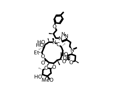 CC[C@H]1OC(=O)[C@H](C)[C@@H](O[C@H]2C[C@@](C)(OC)[C@@H](O)[C@H](C)O2)[C@H](C)[C@@H](O[C@@H]2O[C@H](C)C[C@H](N(C)CCc3cn(C[C@@H](C)COc4ccc(C)cc4)nn3)[C@H]2O)[C@](C)(O)C[C@@H](C)CN(C)[C@H](C)[C@@H](O)[C@]1(C)O